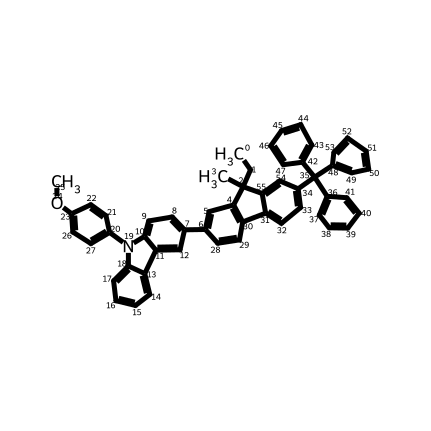 CCC1(C)c2cc(-c3ccc4c(c3)c3ccccc3n4-c3ccc(OC)cc3)ccc2-c2ccc(C(c3ccccc3)(c3ccccc3)c3ccccc3)cc21